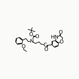 CCOc1ccccc1CCN(CCCCC(=O)c1ccc2c(c1)NC(=O)CO2)C(=O)OC(C)(C)C